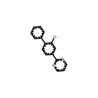 Clc1cc(-c2ncccn2)ccc1-c1ccccc1